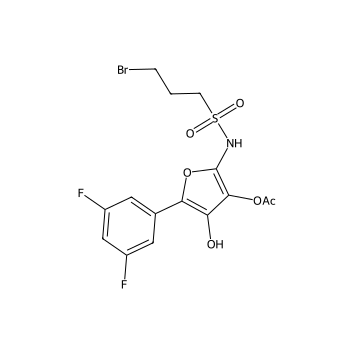 CC(=O)Oc1c(NS(=O)(=O)CCCBr)oc(-c2cc(F)cc(F)c2)c1O